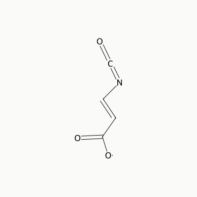 [O]C(=O)C=CN=C=O